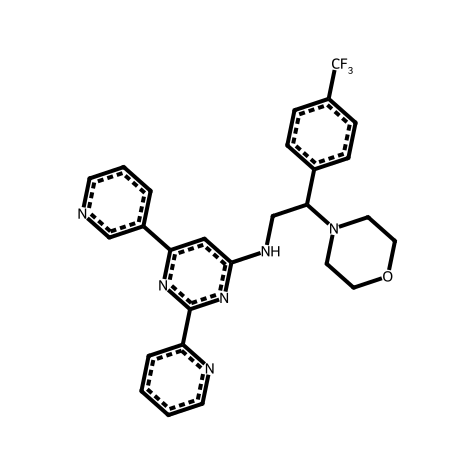 FC(F)(F)c1ccc(C(CNc2cc(-c3cccnc3)nc(-c3ccccn3)n2)N2CCOCC2)cc1